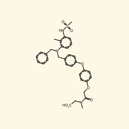 Cc1c(NS(C)(=O)=O)cccc1N(Cc1ccccc1)Cc1ccc(Oc2ccc(OCC(=O)N(C)CC(=O)O)cc2)cc1